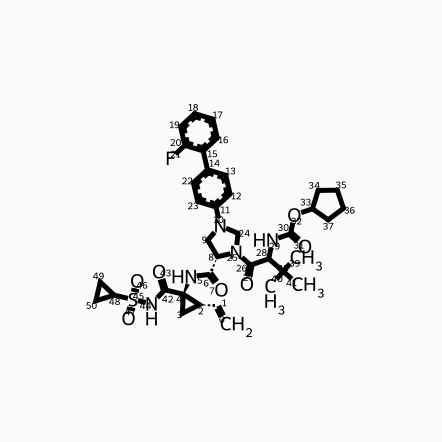 C=C[C@@H]1C[C@]1(NC(=O)[C@@H]1CN(c2ccc(-c3ccccc3F)cc2)CN1C(=O)C(NC(=O)OC1CCCC1)C(C)(C)C)C(=O)NS(=O)(=O)C1CC1